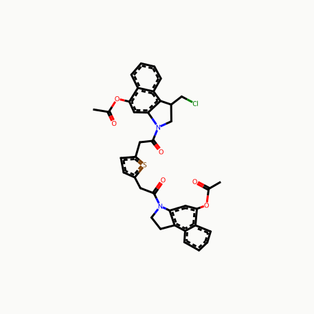 CC(=O)Oc1cc2c(c3ccccc13)CCN2C(=O)Cc1ccc(CC(=O)N2CC(CCl)c3c2cc(OC(C)=O)c2ccccc32)s1